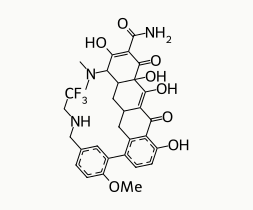 COc1ccc(CNCC(F)(F)F)cc1-c1ccc(O)c2c1CC1CC3C(N(C)C)C(O)=C(C(N)=O)C(=O)C3(O)C(O)=C1C2=O